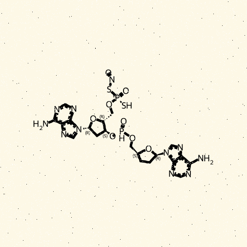 Nc1ncnc2c1ncn2[C@H]1CC[C@@H](CO[PH](=O)O[C@H]2C[C@H](n3cnc4c(N)ncnc43)O[C@@H]2CO[P@@](=O)(S)SN=O)O1